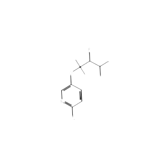 FC(F)C(F)C(F)(F)Oc1ccc(Br)nc1